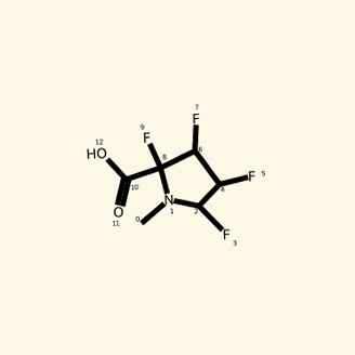 CN1C(F)C(F)C(F)C1(F)C(=O)O